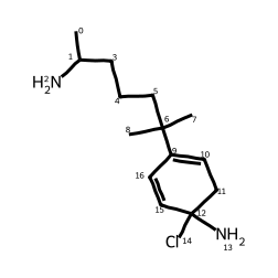 CC(N)CCCC(C)(C)C1=CCC(N)(Cl)C=C1